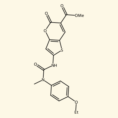 CCOc1ccc(N(C)C(=O)Nc2cc3oc(=O)c(C(=O)OC)cc3s2)cc1